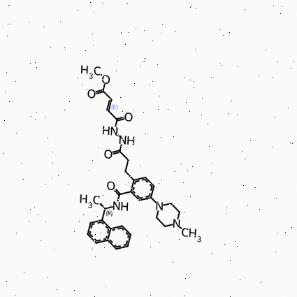 COC(=O)/C=C/C(=O)NNC(=O)CCc1ccc(N2CCN(C)CC2)cc1C(=O)N[C@H](C)c1cccc2ccccc12